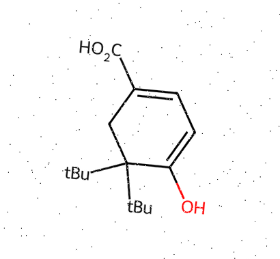 CC(C)(C)C1(C(C)(C)C)CC(C(=O)O)=CC=C1O